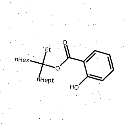 CCCCCCCC(CC)(CCCCCC)OC(=O)c1ccccc1O